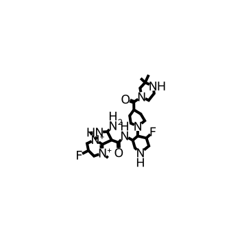 C[N+]1=C2C(C(=O)NC3CNCC(F)C3N3CCC(C(=O)N4CCNC(C)(C)C4)CC3)C(N)N[N+]2(C)CC(F)C1